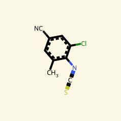 Cc1cc(C#N)cc(Cl)c1N=C=S